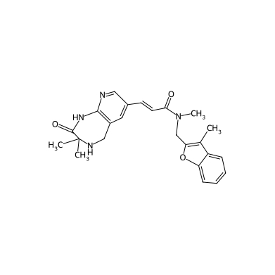 Cc1c(CN(C)C(=O)C=Cc2cnc3c(c2)CNC(C)(C)C(=O)N3)oc2ccccc12